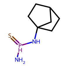 N[PH](=S)NC12CCC(CC1)C2